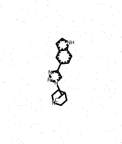 c1cc2cc(-c3cn(C4CN5CCC4CC5)nn3)ccc2[nH]1